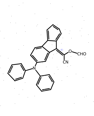 N#C/C(OC=O)=C1/c2ccccc2-c2ccc(N(c3ccccc3)c3ccccc3)cc21